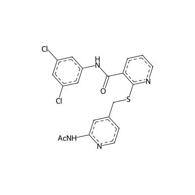 CC(=O)Nc1cc(CSc2ncccc2C(=O)Nc2cc(Cl)cc(Cl)c2)ccn1